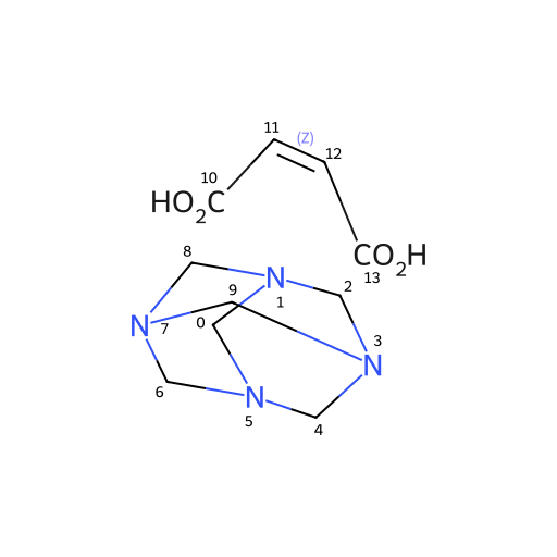 C1N2CN3CN1CN(C2)C3.O=C(O)/C=C\C(=O)O